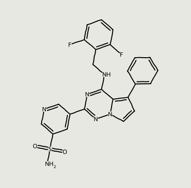 NS(=O)(=O)c1cncc(-c2nc(NCc3c(F)cccc3F)c3c(-c4ccccc4)ccn3n2)c1